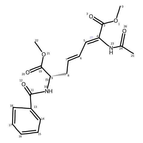 COC(=O)/C(=C/C=CC[C@H](NC(=O)c1ccccc1)C(=O)OC)NC(C)=O